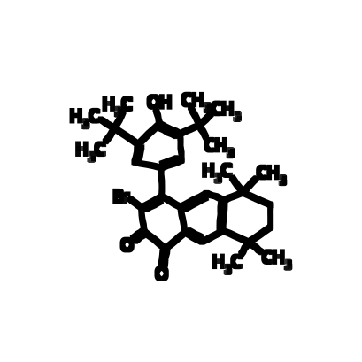 CC(C)(C)c1cc(C2=C(Br)C(=O)C(=O)c3cc4c(cc32)C(C)(C)CCC4(C)C)cc(C(C)(C)C)c1O